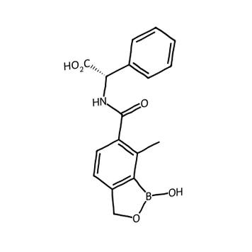 Cc1c(C(=O)N[C@H](C(=O)O)c2ccccc2)ccc2c1B(O)OC2